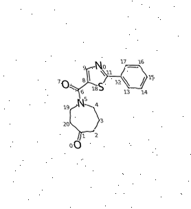 O=C1CCCN(C(=O)c2cnc(-c3ccccc3)s2)CC1